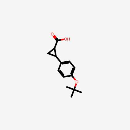 CC(C)(C)Oc1ccc(C2CC2C(=O)O)cc1